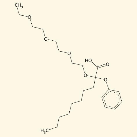 CCCCCCCCC(OCCOCCOCCOCC)(Oc1ccccc1)C(=O)O